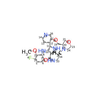 COc1c(F)cccc1Nc1c(-c2ccncc2OC[C@H]2COCCN2C)[nH]c2c1C(=O)NCC2